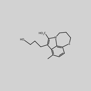 Cc1ccc2c3c1c(CCCO)c(C(=O)O)n3CCCS2